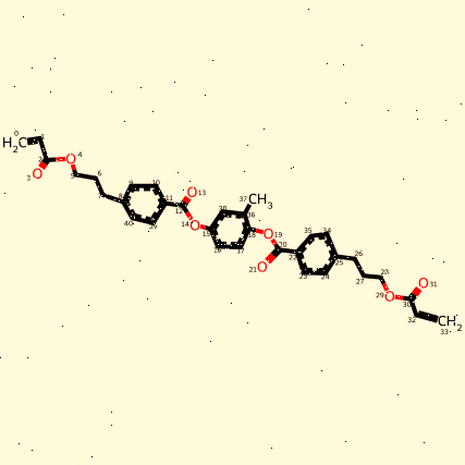 C=CC(=O)OCCCc1ccc(C(=O)Oc2ccc(OC(=O)c3ccc(CCCOC(=O)C=C)cc3)c(C)c2)cc1